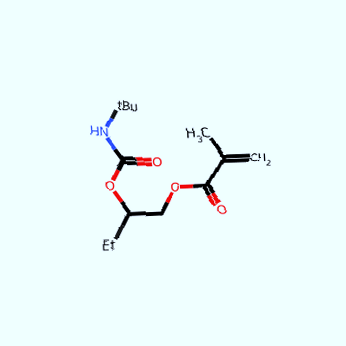 C=C(C)C(=O)OCC(CC)OC(=O)NC(C)(C)C